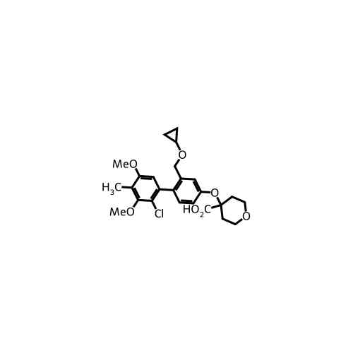 COc1cc(-c2ccc(OC3(C(=O)O)CCOCC3)cc2COC2CC2)c(Cl)c(OC)c1C